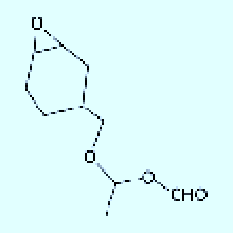 CC(OC=O)OCC1CCC2OC2C1